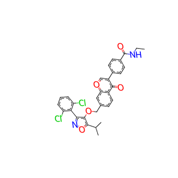 CCNC(=O)c1ccc(-c2coc3cc(COc4c(-c5c(Cl)cccc5Cl)noc4C(C)C)ccc3c2=O)cc1